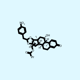 CC(C)C(=O)OCC(=O)[C@@]12OC(Cc3ccc([N+](=O)[O-])cc3)O[C@@H]1C[C@H]1[C@@H]3CCC4=CC(=O)C=C[C@]4(C)[C@H]3[C@@H](O)C[C@@]12C